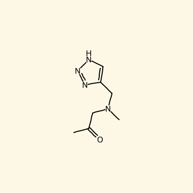 CC(=O)CN(C)Cc1c[nH]nn1